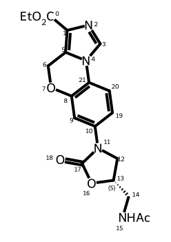 CCOC(=O)c1ncn2c1COc1cc(N3C[C@H](CNC(C)=O)OC3=O)ccc1-2